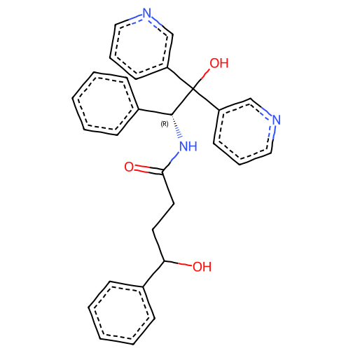 O=C(CCC(O)c1ccccc1)N[C@H](c1ccccc1)C(O)(c1cccnc1)c1cccnc1